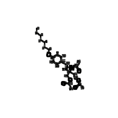 CCCCCCCOc1ccc(CCC(CCOC(C)=O)(COC(C)=O)NC(C)=O)cc1